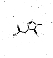 Cn1nnn(CC(=O)O)c1=O